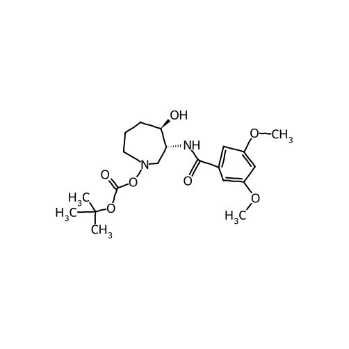 COc1cc(OC)cc(C(=O)N[C@@H]2CN(OC(=O)OC(C)(C)C)CCC[C@H]2O)c1